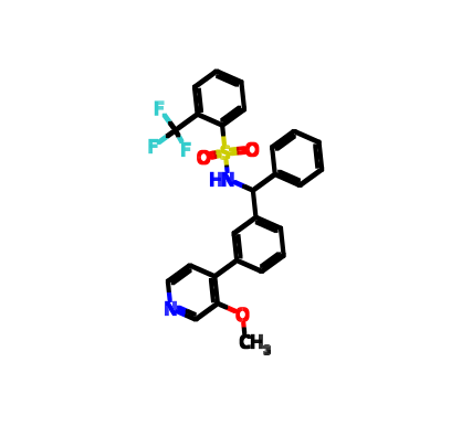 COc1cnccc1-c1cccc(C(NS(=O)(=O)c2ccccc2C(F)(F)F)c2ccccc2)c1